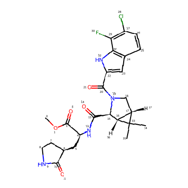 COC(=O)[C@H](C[C@@H]1CCNC1=O)NC(=O)[C@@H]1[C@@H]2[C@H](CN1C(=O)c1cc3ccc(Cl)c(F)c3[nH]1)C2(C)C